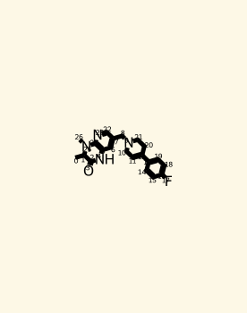 CC1C(=O)Nc2cc(CN3CC=C(c4ccc(F)cc4)CC3)cnc2N1C